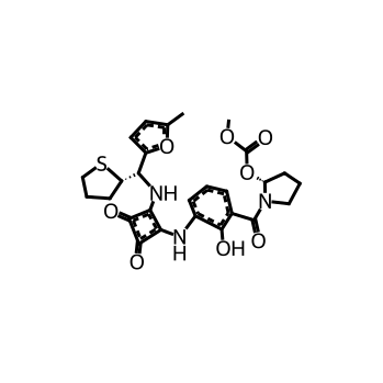 COC(=O)O[C@@H]1CCCN1C(=O)c1cccc(Nc2c(NC(c3ccc(C)o3)[C@@H]3CCCS3)c(=O)c2=O)c1O